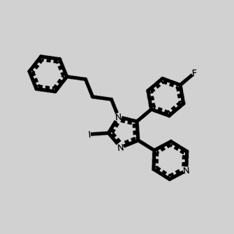 Fc1ccc(-c2c(-c3ccncc3)nc(I)n2CCCc2ccccc2)cc1